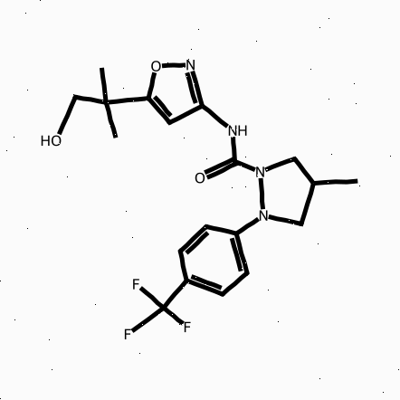 CC1CN(C(=O)Nc2cc(C(C)(C)CO)on2)N(c2ccc(C(F)(F)F)cc2)C1